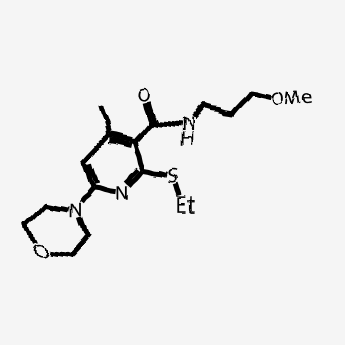 CCSc1nc(N2CCOCC2)cc(C)c1C(=O)NCCCOC